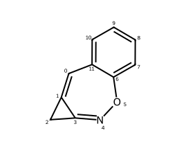 C1=C2CC2=NOc2ccccc21